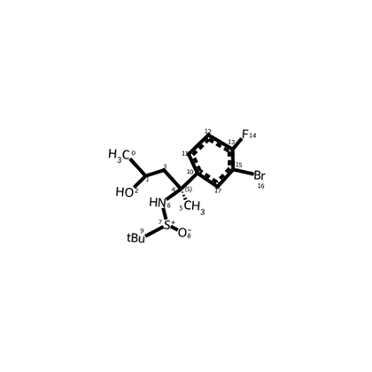 CC(O)C[C@](C)(N[S+]([O-])C(C)(C)C)c1ccc(F)c(Br)c1